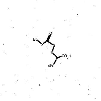 CCCC(SSC(=O)SCC)C(=O)O